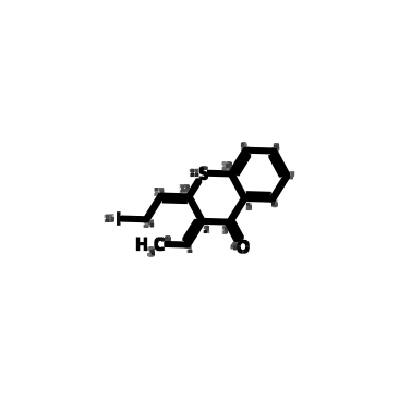 C/C=c1/c(=O)c2ccccc2s/c1=C/CI